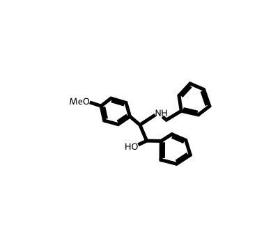 COc1ccc(C(NCc2ccccc2)C(O)c2ccccc2)cc1